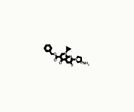 N[C@H]1CCN(c2nc3c(cc2F)c(=O)c(C(=O)OCc2ccccc2)cn3C2CC2)C1